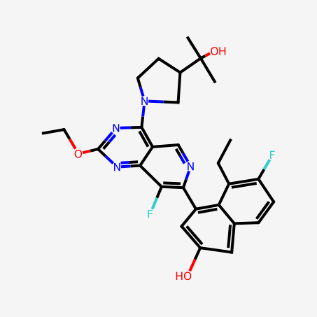 CCOc1nc(N2CCC(C(C)(C)O)C2)c2cnc(-c3cc(O)cc4ccc(F)c(CC)c34)c(F)c2n1